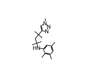 Cc1cc(C)c(C)c(NC(C)(C)CC(C)(C)c2cn(C)nn2)c1